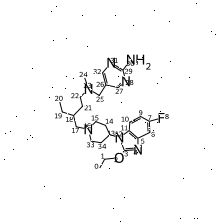 CCOc1nc2cc(F)ccc2n1C1CCN(CC(CC)CCN(C)Cc2cnc(N)nc2)CC1